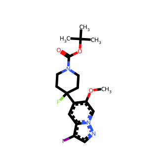 COc1cn2ncc(I)c2cc1C1(F)CCN(C(=O)OC(C)(C)C)CC1